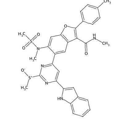 CNC(=O)c1c(-c2ccc(C)cc2)oc2cc(N(C)S(C)(=O)=O)c(-c3cc(-c4cc5ccccc5[nH]4)nc([S+](C)[O-])n3)cc12